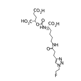 O=C(O)CCC(OC(=O)N[C@@H](CCCCNC(=O)CCc1cn(CCF)nn1)C(=O)O)C(=O)O